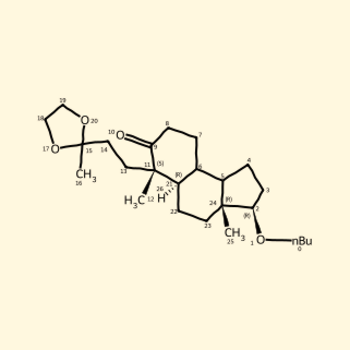 CCCCO[C@@H]1CCC2C3CCC(=O)[C@@](C)(CCC4(C)OCCO4)[C@@H]3CC[C@]21C